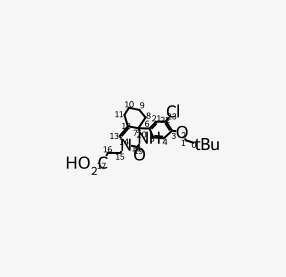 CC(C)(C)COc1ccc(C23CCCCC2=CN(CCC(=O)O)C(=O)N3)cc1Cl